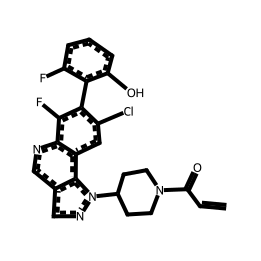 C=CC(=O)N1CCC(n2ncc3cnc4c(F)c(-c5c(O)cccc5F)c(Cl)cc4c32)CC1